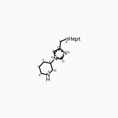 CCCCCCCCc1cn(C2CCCNC2)cn1